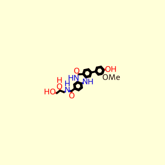 COc1cc(-c2ccc3c(c2)Nc2ccc(C(=O)NCC(O)CO)cc2NC3=O)ccc1O